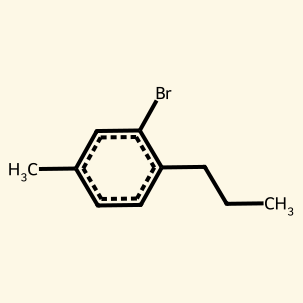 CCCc1ccc(C)cc1Br